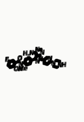 COc1ccc(F)cc1C(=O)Nc1ccc(-c2nn(-c3ccc(N4CCNCC4)nc3)c3ncnc(N)c23)cc1